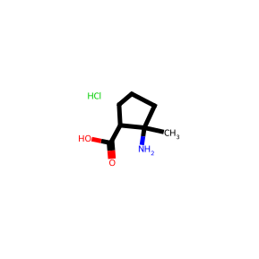 CC1(N)CCCC1C(=O)O.Cl